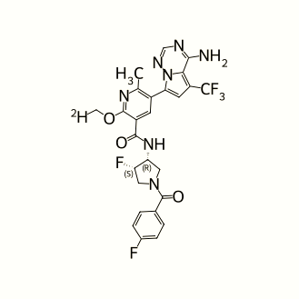 [2H]COc1nc(C)c(-c2cc(C(F)(F)F)c3c(N)ncnn23)cc1C(=O)N[C@@H]1CN(C(=O)c2ccc(F)cc2)C[C@@H]1F